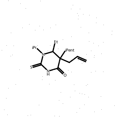 C=CCC1(C(C)CCC)C(=O)NC(=S)N(C(C)C)C1CC